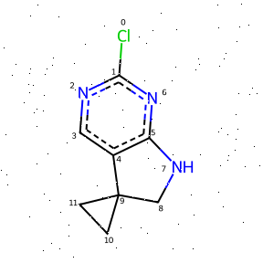 Clc1ncc2c(n1)NCC21CC1